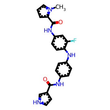 Cn1cccc1C(=O)Nc1ccc(Nc2ccc(NC(=O)c3cc[nH]c3)cc2)c(F)c1